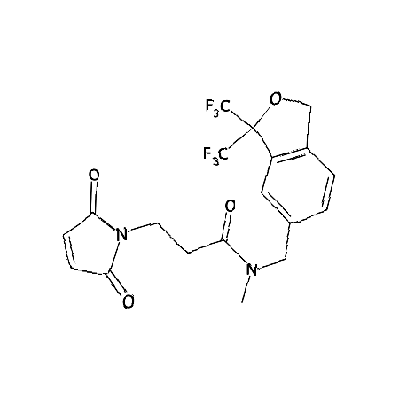 CN(Cc1ccc2c(c1)C(C(F)(F)F)(C(F)(F)F)OC2)C(=O)CCN1C(=O)C=CC1=O